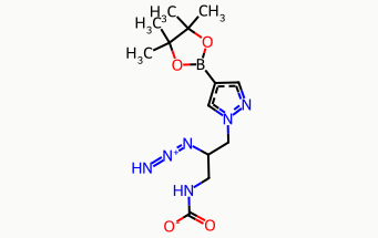 CC1(C)OB(c2cnn(CC(CNC(=O)[O-])N=[N+]=N)c2)OC1(C)C